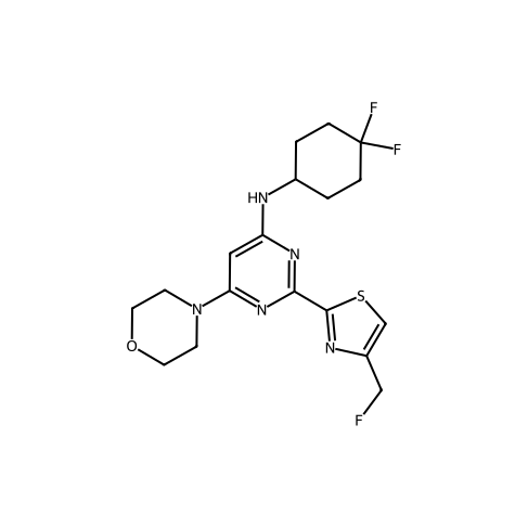 FCc1csc(-c2nc(NC3CCC(F)(F)CC3)cc(N3CCOCC3)n2)n1